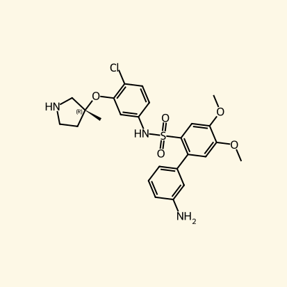 COc1cc(-c2cccc(N)c2)c(S(=O)(=O)Nc2ccc(Cl)c(O[C@]3(C)CCNC3)c2)cc1OC